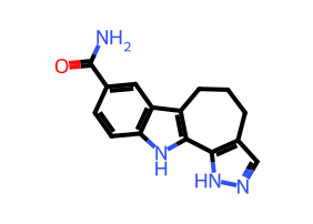 NC(=O)c1ccc2[nH]c3c(c2c1)CCCc1cn[nH]c1-3